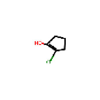 OC1=C(Cl)CCC1